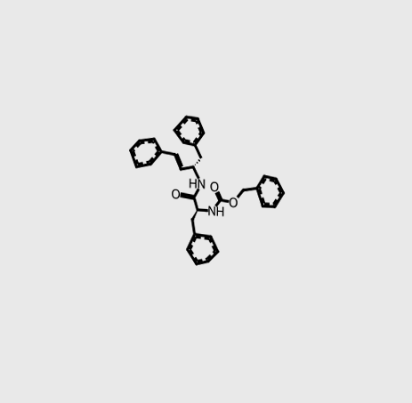 O=C(N[C@@H](Cc1ccccc1)C(=O)N[C@H](/C=C/c1ccccc1)Cc1ccccc1)OCc1ccccc1